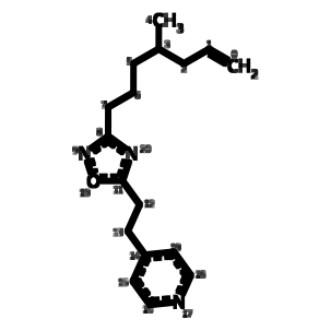 C=CCC(C)CCCc1noc(CCc2ccncc2)n1